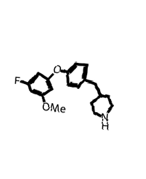 COc1cc(F)cc(Oc2ccc(CC3CCNCC3)cc2)c1